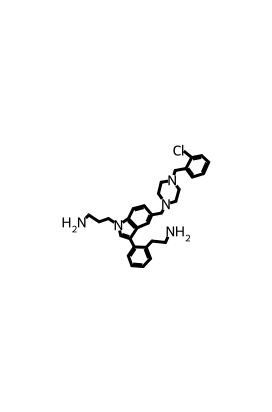 NCCCn1cc(-c2ccccc2CCN)c2cc(CN3CCN(Cc4ccccc4Cl)CC3)ccc21